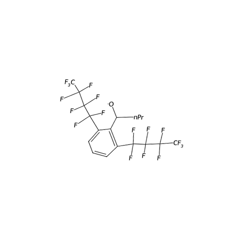 CCCC([O])c1c(C(F)(F)C(F)(F)C(F)(F)C(F)(F)F)cccc1C(F)(F)C(F)(F)C(F)(F)C(F)(F)F